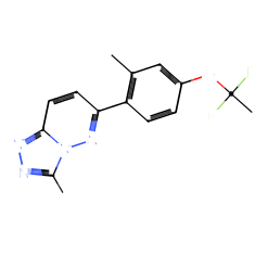 Cc1cc(OC(C)(F)F)ccc1-c1ccc2nnc(C(F)(F)F)n2n1